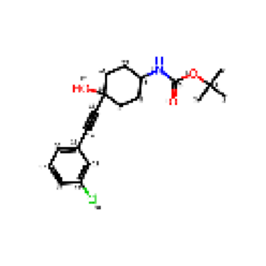 CC(C)(C)OC(=O)NC1CCC(O)(C#Cc2cccc(Cl)c2)CC1